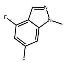 Cn1ncc2c(F)cc(F)cc21